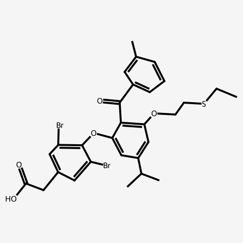 CCSCCOc1cc(C(C)C)cc(Oc2c(Br)cc(CC(=O)O)cc2Br)c1C(=O)c1cccc(C)c1